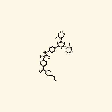 CCCC1CCN(C(=O)c2ccc(NC(=O)Nc3ccc(-c4nc(N5CCOC[C@@H]5C)nc(N5CCOC[C@@H]5C)n4)cc3)cc2)CC1